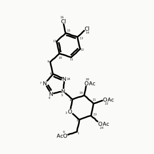 CC(=O)OCC1OC(n2nnc(Cc3ccc(Cl)c(Cl)c3)n2)C(OC(C)=O)C(OC(C)=O)C1OC(C)=O